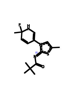 Cc1cn(C2=CNC(C)(F)C=C2)/c(=N/C(=O)C(C)(C)C)s1